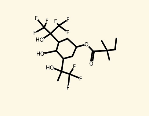 CCC(C)(C)C(=O)OC1CC(C(C)(O)C(F)(F)F)C(O)C(C(O)(C(F)(F)F)C(F)(F)F)C1